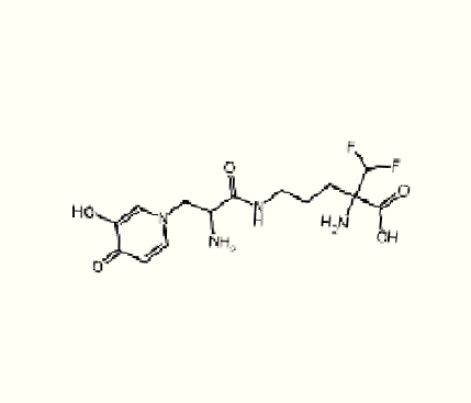 NC(Cn1ccc(=O)c(O)c1)C(=O)NCCCC(N)(C(=O)O)C(F)F